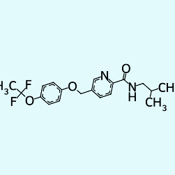 CC(C)CNC(=O)c1ccc(COc2ccc(OC(C)(F)F)cc2)cn1